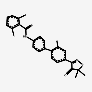 Cc1cc(C2=NOC(C)(C)C2=O)ccc1-c1ccc(NC(=O)c2c(F)cccc2F)cc1